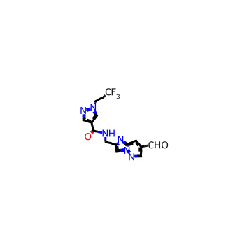 O=Cc1cnn2cc(CNC(=O)c3cnn(CCC(F)(F)F)c3)nc2c1